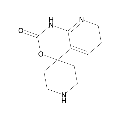 O=C1NC2=NCCC=C2C2(CCNCC2)O1